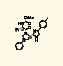 COC(=O)N[C@H](C(=O)N1CN(c2ccccc2)C[C@H]1c1nc(-c2ccc(C)cc2)c[nH]1)C(C)C